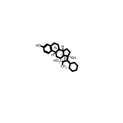 CC(C(=O)O)C(C1CCCCC1)[C@]1(O)CC[C@H]2[C@@H]3CCc4cc(O)ccc4[C@H]3CC[C@@]21C